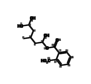 CC(CC(O)O)CC(O)OC(=O)c1ccccc1C(=O)O